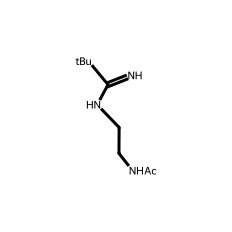 CC(=O)NCCNC(=N)C(C)(C)C